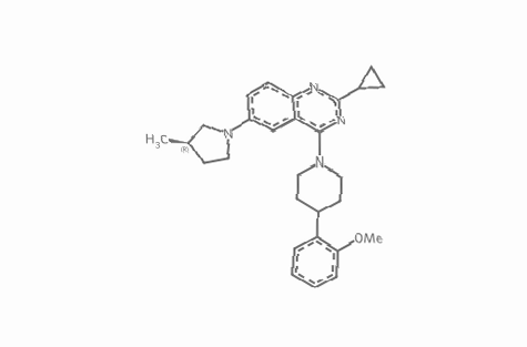 COc1ccccc1C1CCN(c2nc(C3CC3)nc3ccc(N4CC[C@@H](C)C4)cc23)CC1